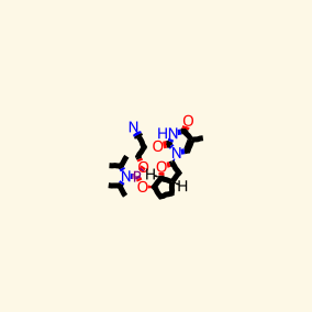 Cc1cn([C@@H]2C[C@H]3CC[C@@H](OP(OCCC#N)N(C(C)C)C(C)C)[C@H]3O2)c(=O)[nH]c1=O